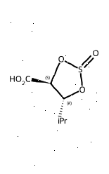 CC(C)[C@H]1OS(=O)O[C@@H]1C(=O)O